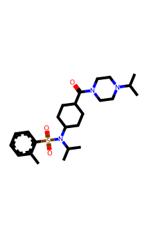 Cc1ccccc1S(=O)(=O)N(C(C)C)C1CCC(C(=O)N2CCN(C(C)C)CC2)CC1